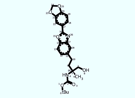 CC(C)(C)OC(=O)N[C@@](C)(CO)CCc1ccc2oc(-c3ccc4c(c3)OCO4)nc2c1